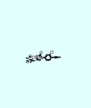 CC#Cc1ccc(N2C[C@H](C[C@](C)(C(=O)O)S(C)(=O)=O)OC2=O)cc1Cl